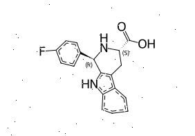 O=C(O)[C@@H]1Cc2c([nH]c3ccccc23)[C@@H](c2ccc(F)cc2)N1